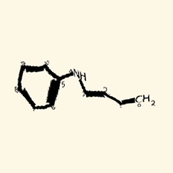 C=C[C]=CNc1ccccc1